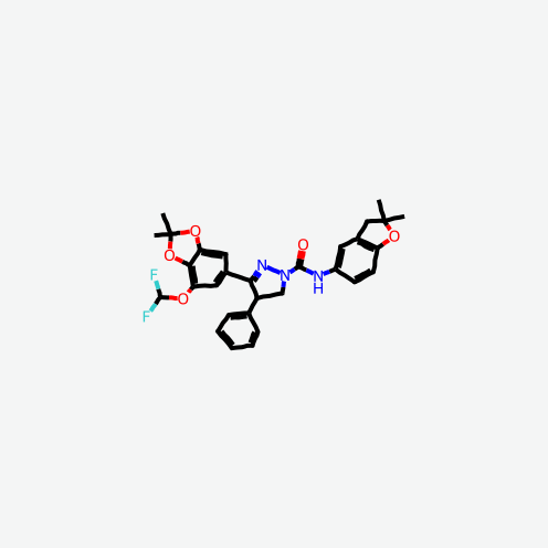 CC1(C)Cc2cc(NC(=O)N3CC(c4ccccc4)C(c4cc(OC(F)F)c5c(c4)OC(C)(C)O5)=N3)ccc2O1